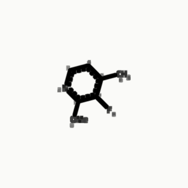 COc1nccc(C)c1F